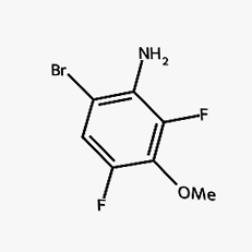 COc1c(F)cc(Br)c(N)c1F